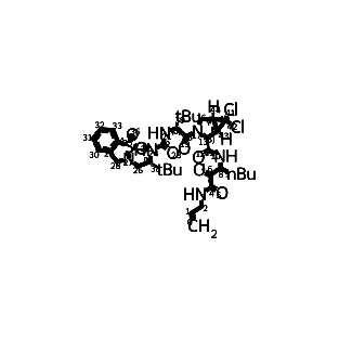 C=CCNC(=O)C(=O)C(CCCC)NC(=O)[C@@H]1[C@@H]2[C@H](CN1C(=O)[C@@H](NC(=O)N[C@H](CN1Cc3ccccc3S1(=O)=O)C(C)(C)C)C(C)(C)C)C2(Cl)Cl